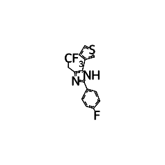 Fc1ccc(-c2nc(CC(F)(F)F)c(-c3ccsc3)[nH]2)cc1